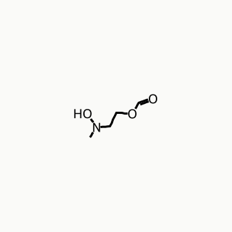 CN(O)CCOC=O